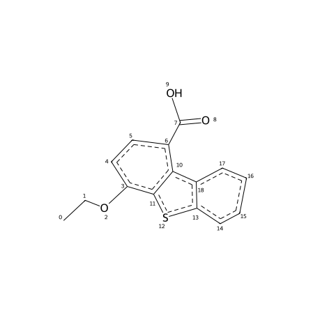 CCOc1ccc(C(=O)O)c2c1sc1ccccc12